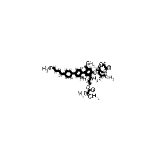 C=C(C)C(=O)OCCCc1cc(-c2ccc(C3CCC(CCCCC)CC3)cc2P)c(CC)cc1OCC1(CC(C)CC)COCC(=O)OC1